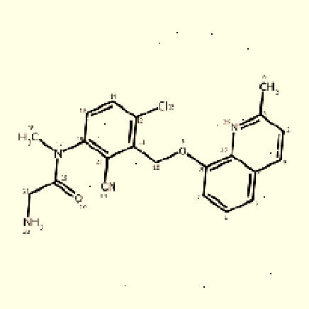 Cc1ccc2cccc(OCc3c(Cl)ccc(N(C)C(=O)CN)c3C#N)c2n1